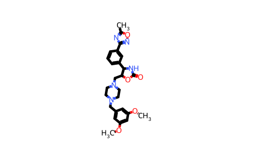 COc1cc(CN2CCN(CC3OC(=O)NC3c3cccc(-c4noc(C)n4)c3)CC2)cc(OC)c1